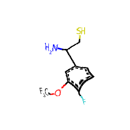 NC(CS)c1ccc(F)c(OC(F)(F)F)c1